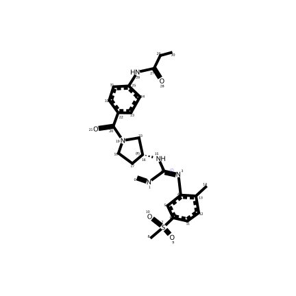 C=N/C(=N\c1cc(S(C)(=O)=O)ccc1C)N[C@@H]1CCN(C(=O)c2ccc(NC(=O)CC)cc2)C1